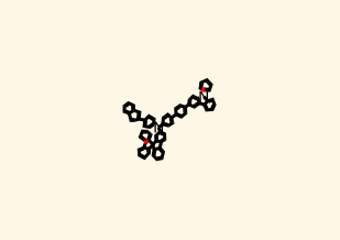 c1ccc(-n2c3ccccc3c3cc(-c4ccc(-c5ccc(N(c6ccc(-c7ccc8ccccc8c7)cc6)c6ccc7c(c6)C6(c8ccccc8-c8ccccc86)c6ccccc6-7)cc5)cc4)ccc32)cc1